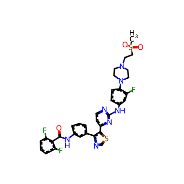 CS(=O)(=O)CCN1CCN(c2ccc(Nc3nccc(-c4scnc4-c4cccc(NC(=O)c5c(F)cccc5F)c4)n3)cc2F)CC1